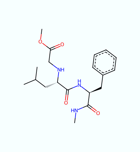 CNC(=O)[C@H](Cc1ccccc1)NC(=O)[C@H](CC(C)C)NCC(=O)OC